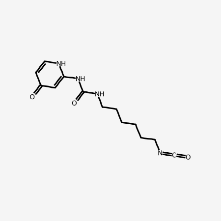 O=C=NCCCCCCNC(=O)Nc1cc(=O)cc[nH]1